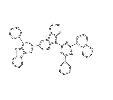 c1ccc(-c2nc(-c3cccc4ccccc34)nc(-n3c4ccccc4c4cc(-c5cc(-c6ccccc6)c6oc7ccccc7c6c5)ccc43)n2)cc1